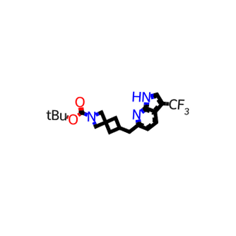 CC(C)(C)OC(=O)N1CC2(CC(Cc3ccc4c(C(F)(F)F)c[nH]c4n3)C2)C1